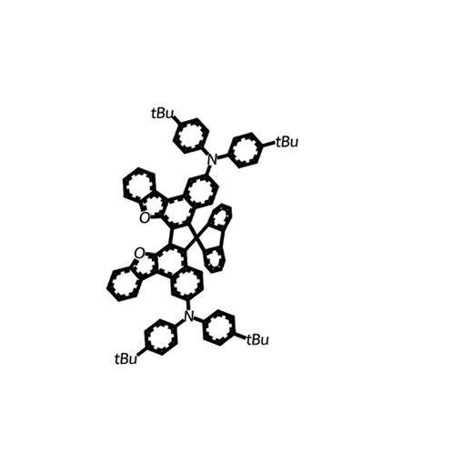 CC(C)(C)c1ccc(N(c2ccc(C(C)(C)C)cc2)c2ccc3c4c(c5oc6ccccc6c5c3c2)-c2c(c3ccc(N(c5ccc(C(C)(C)C)cc5)c5ccc(C(C)(C)C)cc5)cc3c3c2oc2ccccc23)C42c3ccccc3-c3ccccc32)cc1